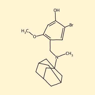 COc1cc(O)c(Br)cc1CN(C)C12CC3CC(CC(C3)C1)C2